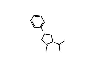 CC(C)[C@@H]1C[C@@H](c2ccccc2)CN1C